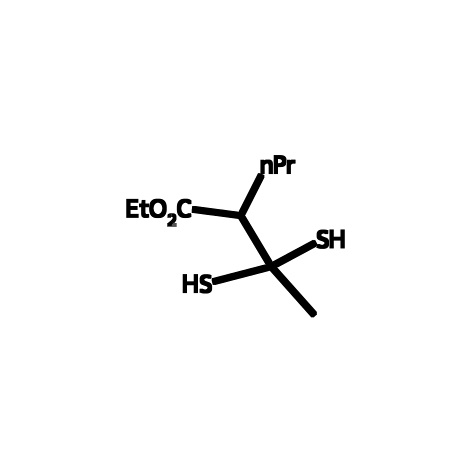 CCCC(C(=O)OCC)C(C)(S)S